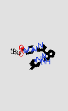 Cc1ccnc(Nc2cc3ccccc3c(-c3ccnc(N4CCN(C(=O)OC(C)(C)C)CC4)c3)n2)c1